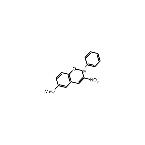 COc1ccc2c(c1)C=C([N+](=O)[O-])[C@@H](c1ccccc1)O2